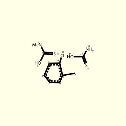 CNC(O)=S.Cc1ccccc1Cl.NC(O)=S